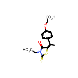 C/C(=C1\SC(=S)N(CC(=O)O)C1=O)c1ccc(OCC(=O)O)cc1